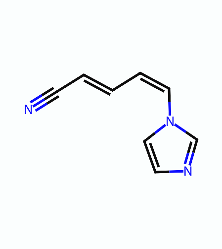 N#C/C=C/C=C\n1ccnc1